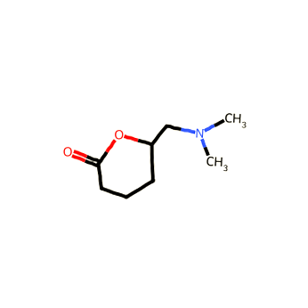 CN(C)CC1CCCC(=O)O1